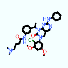 COc1cc(OC)c(Cl)c(N2Cc3cnc(Nc4ccccc4)nc3N(C(C)c3cccc(NC(=O)/C=C/CN(C)C)c3)C2=O)c1